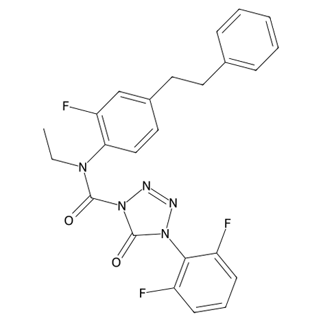 CCN(C(=O)n1nnn(-c2c(F)cccc2F)c1=O)c1ccc(CCc2ccccc2)cc1F